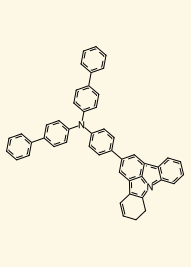 C1=Cc2c(n3c4ccccc4c4cc(-c5ccc(N(c6ccc(-c7ccccc7)cc6)c6ccc(-c7ccccc7)cc6)cc5)cc2c43)CC1